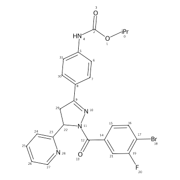 CC(C)OC(=O)Nc1ccc(C2=NN(C(=O)c3ccc(Br)c(F)c3)C(c3ccccn3)C2)cc1